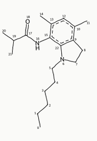 CCCCCCN1CCc2c(C)cc(C)c(NC(=O)C(C)C)c21